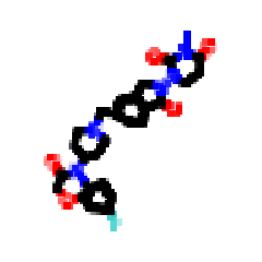 O=C1CCN(N2Cc3cc(CN4CCC(N5C(=O)COc6cc(F)ccc65)CC4)ccc3C2=O)C(=O)N1